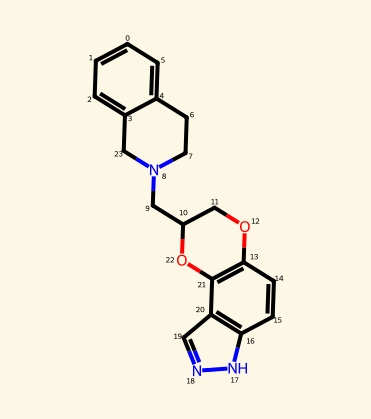 c1ccc2c(c1)CCN(CC1COc3ccc4[nH]ncc4c3O1)C2